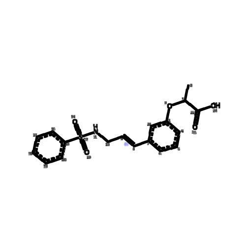 CC(Oc1cccc(/C=C/CNS(=O)(=O)c2ccccc2)c1)C(=O)O